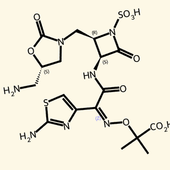 CC(C)(O/N=C(\C(=O)N[C@@H]1C(=O)N(S(=O)(=O)O)[C@@H]1CN1C[C@H](CN)OC1=O)c1csc(N)n1)C(=O)O